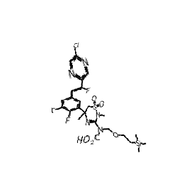 CN1C(N(COCC[Si](C)(C)C)C(=O)O)=NC(C)(c2cc(C=C(F)c3cnc(Cl)cn3)cc(F)c2F)CS1(=O)=O